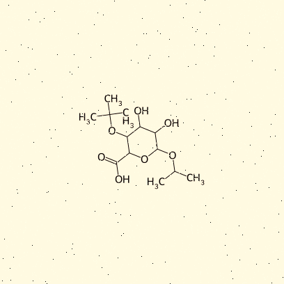 CC(C)OC1OC(C(=O)O)C(OC(C)(C)C)C(O)C1O